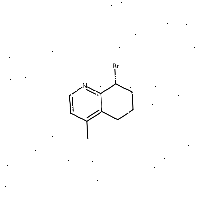 Cc1ccnc2c1CCCC2Br